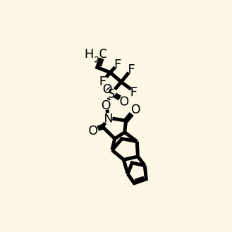 C=CC(F)(F)C(F)(F)S(=O)(=O)ON1C(=O)C2C3CC(C2C1=O)C1C2C=CC(C2)C31